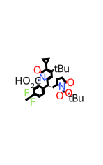 CC(C)(C)OC(=O)N1C(=O)CCC1C[C@H](c1ccc(C(C)(F)F)cc1)c1cc(C(C)(C)C)c(C2CC2)c(=O)n1C(=O)O